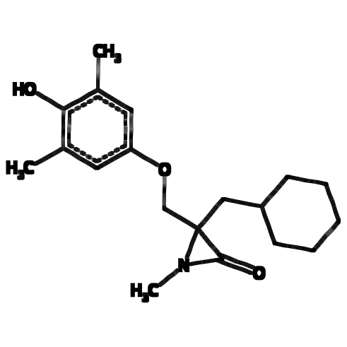 Cc1cc(OCC2(CC3CCCCC3)C(=O)N2C)cc(C)c1O